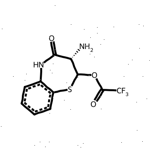 N[C@H]1C(=O)Nc2ccccc2SC1OC(=O)C(F)(F)F